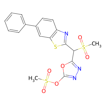 CS(=O)(=O)Oc1nnc(C(c2nc3ccc(-c4ccccc4)cc3s2)S(C)(=O)=O)o1